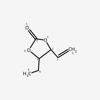 C=CC1OC(=O)OC1CC